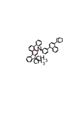 CC1(C)c2ccccc2-c2ccc(N(c3cccc(-c4ccc(C5CC6CCC5C6)c5ccccc45)c3)c3ccccc3-c3ccccc3)cc21